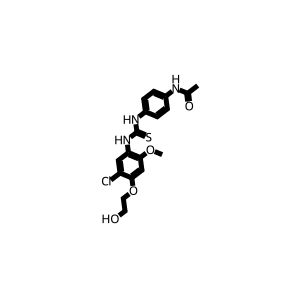 COc1cc(OCCO)c(Cl)cc1NC(=S)Nc1ccc(NC(C)=O)cc1